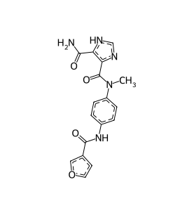 CN(C(=O)c1nc[nH]c1C(N)=O)c1ccc(NC(=O)c2ccoc2)cc1